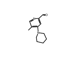 Cc1cnc(C=O)cc1N1CCCCC1